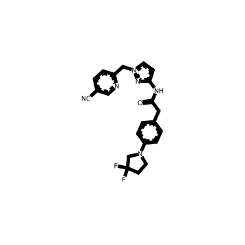 N#Cc1ccc(Cn2ccc(NC(=O)Cc3ccc(N4CCC(F)(F)C4)cc3)n2)nc1